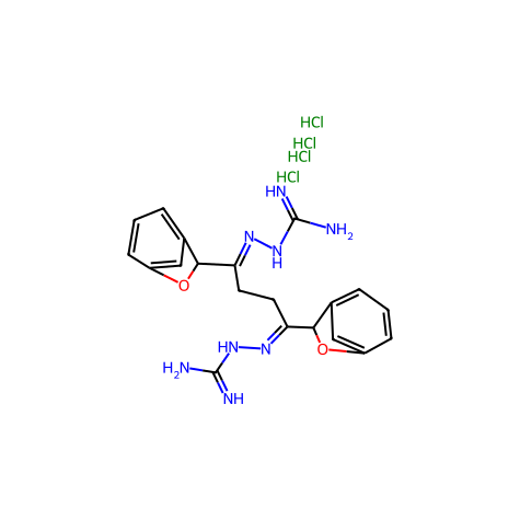 Cl.Cl.Cl.Cl.N=C(N)NN=C(CCC(=NNC(=N)N)C1Oc2cccc1c2)C1Oc2cccc1c2